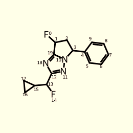 FC1CC(c2ccccc2)n2nc(C(F)C3CC3)nc21